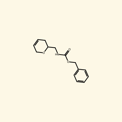 O=C(NCC1CC=CCO1)OCc1ccccc1